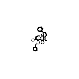 CN1C(=O)c2c(OCc3ccccc3)c(=O)ccn2N2C(c3ccccc3)CCC12